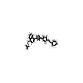 CC1CN(Cc2ccc(C3=NCC(c4ccc(CCc5ccccc5)cc4)=N3)c3ccccc23)C1